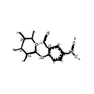 CC1OC(Oc2ccc([N+](=O)[O-])cc2C=O)C(C)C(C)C1C